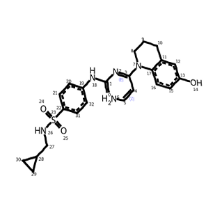 C=C(/N=C(\C=C/N)N1CCCc2cc(O)ccc21)Nc1ccc(S(=O)(=O)NCC2CC2)cc1